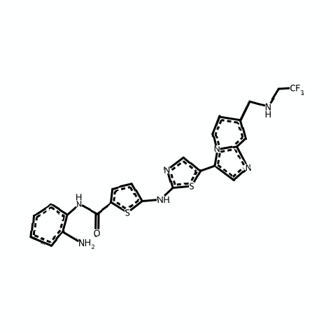 Nc1ccccc1NC(=O)c1ccc(Nc2ncc(-c3cnc4cc(CNCC(F)(F)F)ccn34)s2)s1